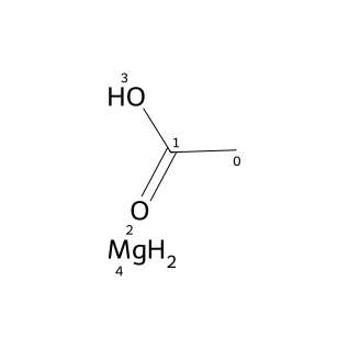 CC(=O)O.[MgH2]